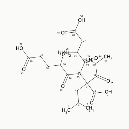 CC(C)CC(C(=O)O)(C(=O)C(C)N)N(C(=O)C(N)CCC(=O)O)C(=O)C(N)CC(=O)O